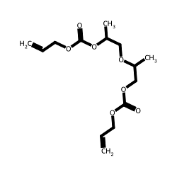 C=CCOC(=O)OCC(C)OCC(C)OC(=O)OCC=C